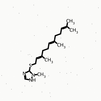 CC(C)=CCC/C(C)=C/CC/C(C)=C/CSC1N=CNN1C